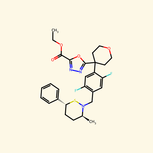 CCOC(=O)c1nnc(C2(c3cc(F)c(CN4S[C@@H](c5ccccc5)CC[C@@H]4C)cc3F)CCOCC2)o1